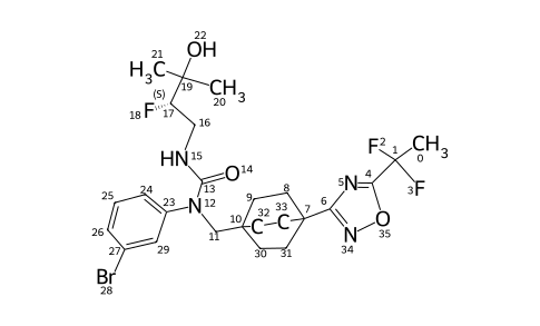 CC(F)(F)c1nc(C23CCC(CN(C(=O)NC[C@H](F)C(C)(C)O)c4cccc(Br)c4)(CC2)CC3)no1